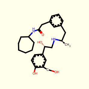 C[C@H](Cc1cccc(CC(=O)NC2CCCCCC2)c1)NC[C@@H](O)c1ccc(O)c(CO)c1